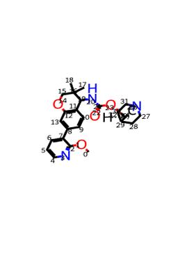 COc1ncccc1-c1ccc2c(c1)OCC(C)(C)C2NC(=O)O[C@H]1CN2CCC1CC2